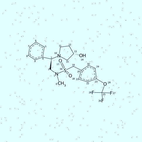 CN(C[C@@H](c1ccccc1)N1CC[C@H](O)C1)S(=O)(=O)Cc1ccc(OC(F)(F)F)cc1